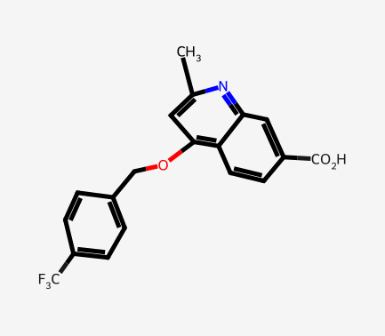 Cc1cc(OCc2ccc(C(F)(F)F)cc2)c2ccc(C(=O)O)cc2n1